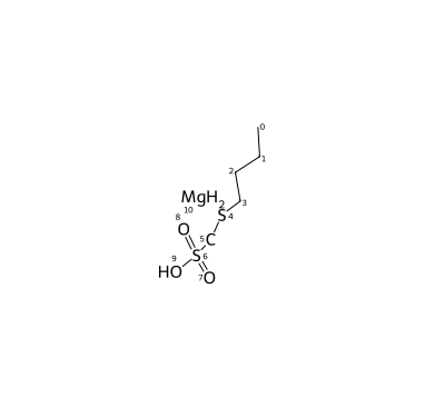 CCCCSCS(=O)(=O)O.[MgH2]